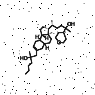 CCCCC(C)(O)CC1=CC[C@@H]2[C@H](CC[C@]3(C)[C@@H]([C@H](C)CCC(C)(O)C4CCOCC4)CC[C@@H]23)C1